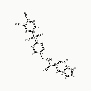 O=C(NCc1ccc(S(=O)(=O)c2ccc(F)c(F)c2)cc1)c1cnc2nccn2c1